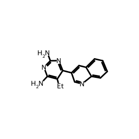 CCc1c(N)nc(N)nc1-c1cnc2ccccc2c1